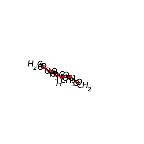 C=CC(=O)OCCCCOc1ccc(C(=O)Oc2ccc(CNc3cc(C)c(OC(=O)c4ccc(OCCCCOC(=O)C=C)cc4)cc3C)cc2)cc1